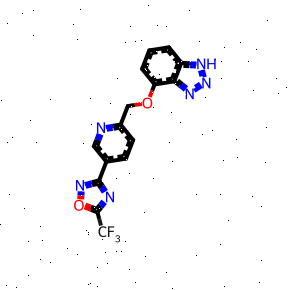 FC(F)(F)c1nc(-c2ccc(COc3cccc4[nH]nnc34)nc2)no1